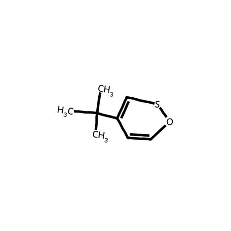 CC(C)(C)C1=CSOC=C1